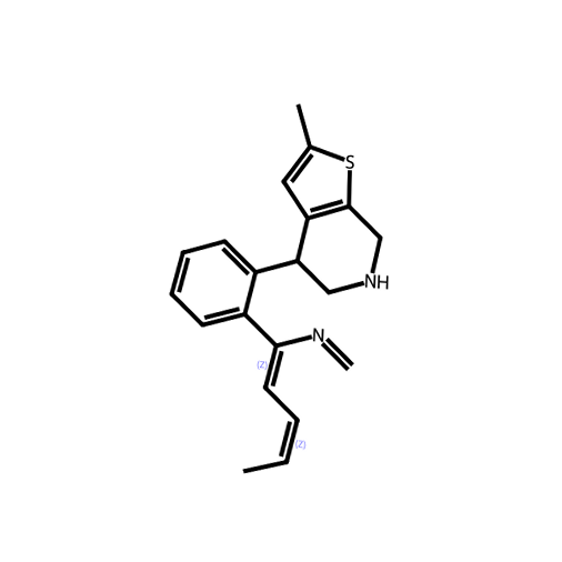 C=N/C(=C\C=C/C)c1ccccc1C1CNCc2sc(C)cc21